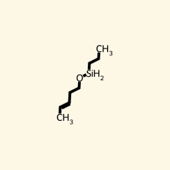 CC=CCCO[SiH2]CCC